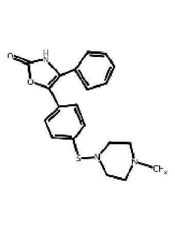 CN1CCN(Sc2ccc(-c3oc(=O)[nH]c3-c3ccccc3)cc2)CC1